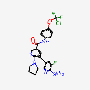 Nc1ncc(-c2cc(C(=O)Nc3ccc(OC(F)(F)Cl)cc3)cnc2N2CCCC2)cc1F